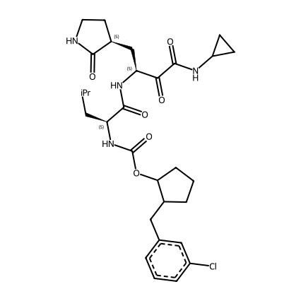 CC(C)C[C@H](NC(=O)OC1CCCC1Cc1cccc(Cl)c1)C(=O)N[C@@H](C[C@@H]1CCNC1=O)C(=O)C(=O)NC1CC1